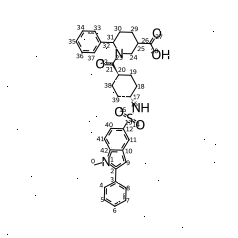 Cn1c(-c2ccccc2)cc2cc(S(=O)(=O)N[C@H]3CC[C@H](C(=O)N4CC(C(=O)O)CCC4c4ccccc4)CC3)ccc21